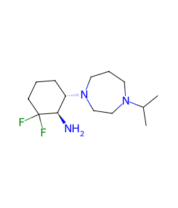 CC(C)N1CCCN([C@H]2CCCC(F)(F)[C@@H]2N)CC1